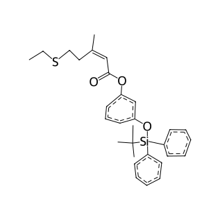 CCSCCC(C)=CC(=O)Oc1cccc(O[Si](c2ccccc2)(c2ccccc2)C(C)(C)C)c1